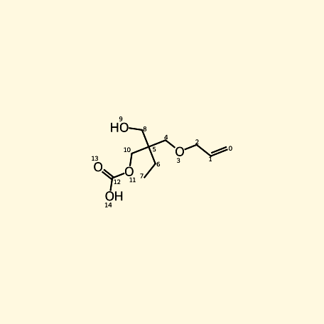 C=CCOCC(CC)(CO)COC(=O)O